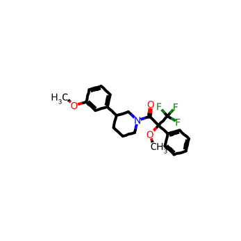 COc1cccc(C2CCCN(C(=O)C(OC)(c3ccccc3)C(F)(F)F)C2)c1